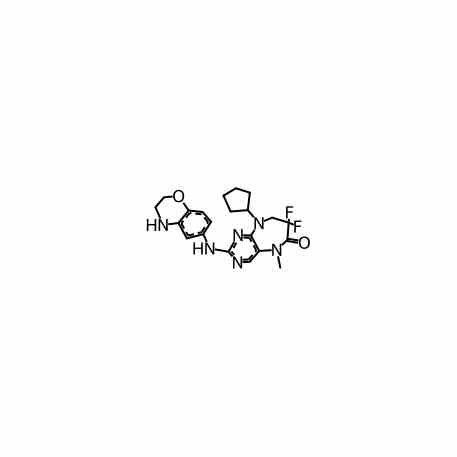 CN1C(=O)C(F)(F)CN(C2CCCC2)c2nc(Nc3ccc4c(c3)NCCO4)ncc21